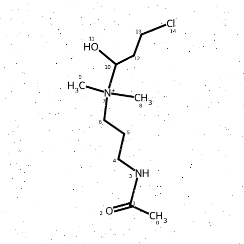 CC(=O)NCCC[N+](C)(C)C(O)CCCl